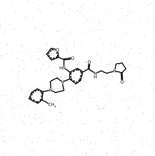 Cc1ccccc1N1CCN(c2ccc(C(=O)NCCN3CCCC3=O)cc2NC(=O)c2ccco2)CC1